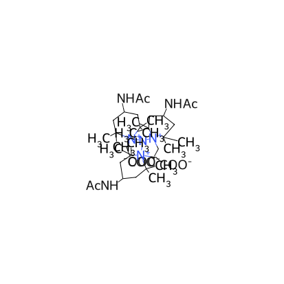 CC(=O)NC1CC(C)(C)[N+](CC(=O)[O-])(N([N+]2(CC(=O)[O-])C(C)(C)CC(NC(C)=O)CC2(C)C)[N+]2(CC(=O)[O-])C(C)(C)CC(NC(C)=O)CC2(C)C)C(C)(C)C1